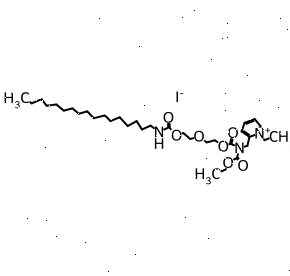 CCCCCCCCCCCCCCCCCNC(=O)OCCOCCOC(=O)N(Cc1cccc[n+]1CC)C(=O)OCC.[I-]